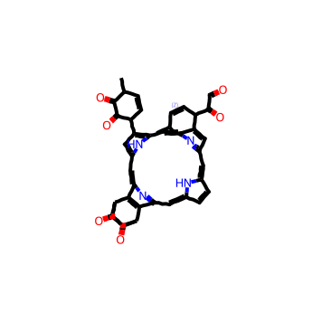 CC(C)/C=C\C(C(=O)C=O)C1=Cc2cc3ccc(cc4nc(cc5cc(C6C=CC(C)C(=O)C6=O)c(cc1n2)[nH]5)C1=C4C2CCC1C(=O)C2=O)[nH]3